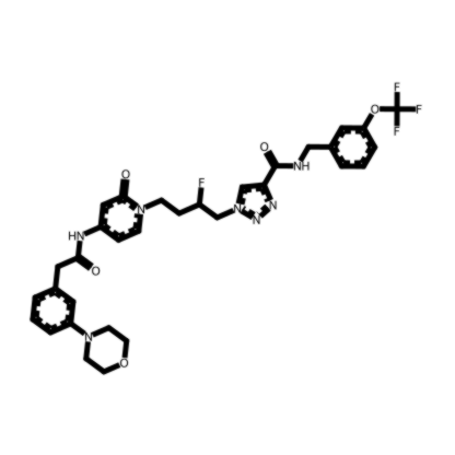 O=C(Cc1cccc(N2CCOCC2)c1)Nc1ccn(CCC(F)Cn2cc(C(=O)NCc3cccc(OC(F)(F)F)c3)nn2)c(=O)c1